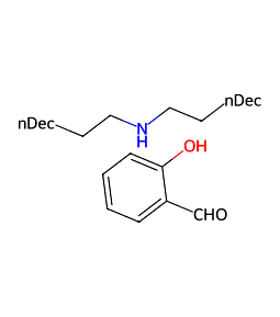 CCCCCCCCCCCCNCCCCCCCCCCCC.O=Cc1ccccc1O